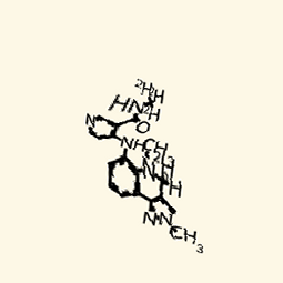 [2H]C([2H])([2H])NC(=O)c1cnccc1Nc1cccc2c1N(C)C([2H])([2H])c1cn(C)nc1-2